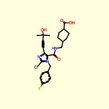 CC(C)(O)C#Cc1nc(Cl)n(Cc2ccc(F)cc2)c1C(=O)NCC1CCC(C(=O)O)CC1